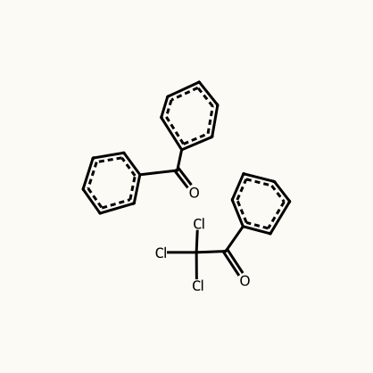 O=C(c1ccccc1)C(Cl)(Cl)Cl.O=C(c1ccccc1)c1ccccc1